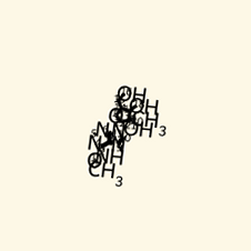 CONc1ncnc2c1ncn2C1OC(CO)C(O)C1(C)O